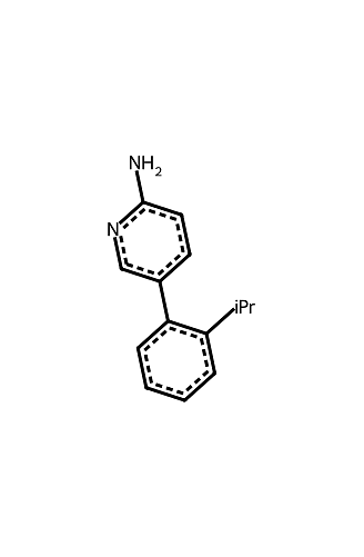 CC(C)c1ccccc1-c1ccc(N)nc1